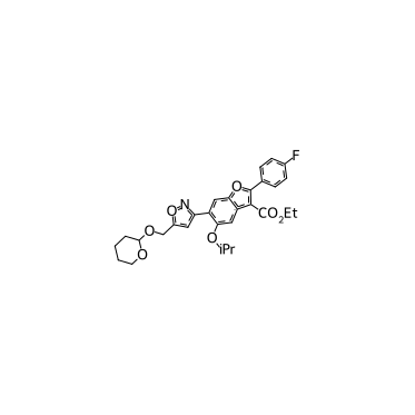 CCOC(=O)c1c(-c2ccc(F)cc2)oc2cc(-c3cc(COC4CCCCO4)on3)c(OC(C)C)cc12